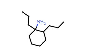 CCCC1CCCCC1(N)CCC